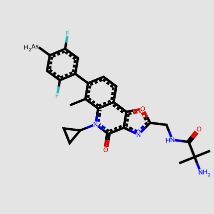 Cc1c(-c2cc(F)c([AsH2])cc2F)ccc2c3oc(CNC(=O)C(C)(C)N)nc3c(=O)n(C3CC3)c12